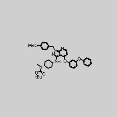 COc1ccc(Cn2nc(N[C@H]3CC[C@@H](N(C)C(=O)OC(C)(C)C)CC3)c3c(Oc4cccc(Oc5ccccc5)c4)ccnc32)cc1